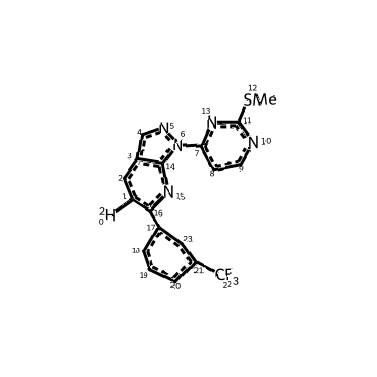 [2H]c1cc2cnn(-c3ccnc(SC)n3)c2nc1-c1cccc(C(F)(F)F)c1